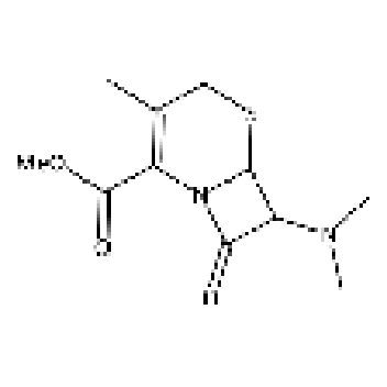 COC(=O)C1=C(C)CSC2C(N(C)C)C(=O)N12